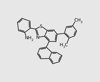 Cc1ccc(C)c(-c2cc(-c3cccc4ccccc34)c3nc(-c4ccccc4N)sc3c2)c1